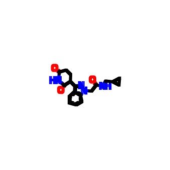 O=C(Cn1nc(C2CCC(=O)NC2=O)c2ccccc21)NCC1CC1